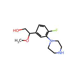 COC(CO)c1ccc(F)c(N2CCNCC2)c1